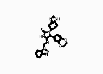 S=C1NC(=NCn2nnc3ccccc32)C(c2ccc3c(c2)OCCO3)N1c1ccc2[nH]cnc2c1